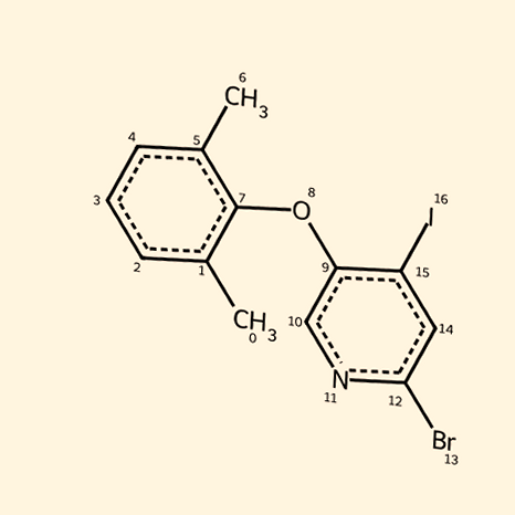 Cc1cccc(C)c1Oc1cnc(Br)cc1I